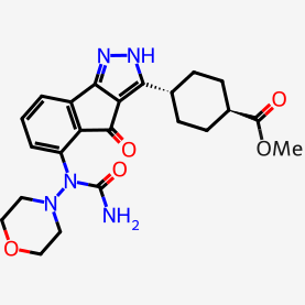 COC(=O)[C@H]1CC[C@H](c2[nH]nc3c2C(=O)c2c-3cccc2N(C(N)=O)N2CCOCC2)CC1